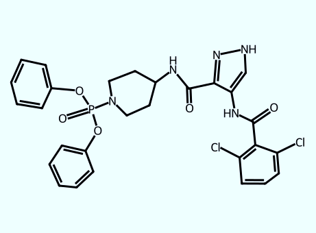 O=C(NC1CCN(P(=O)(Oc2ccccc2)Oc2ccccc2)CC1)c1n[nH]cc1NC(=O)c1c(Cl)cccc1Cl